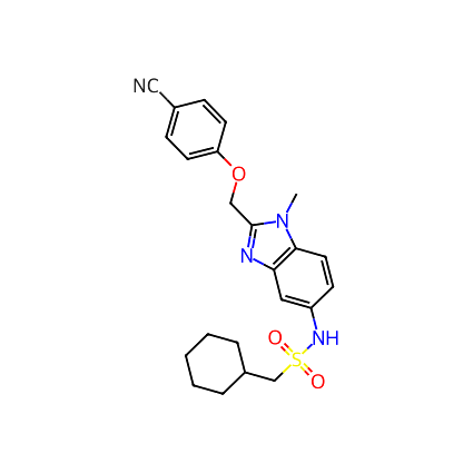 Cn1c(COc2ccc(C#N)cc2)nc2cc(NS(=O)(=O)CC3CCCCC3)ccc21